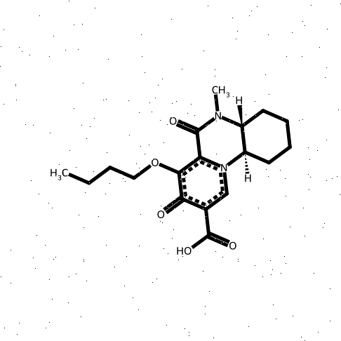 CCCCOc1c2n(cc(C(=O)O)c1=O)[C@@H]1CCCC[C@H]1N(C)C2=O